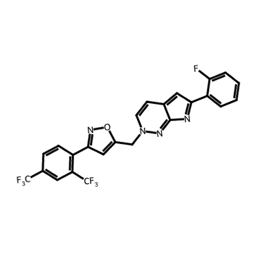 Fc1ccccc1-c1cc2ccn(Cc3cc(-c4ccc(C(F)(F)F)cc4C(F)(F)F)no3)nc-2n1